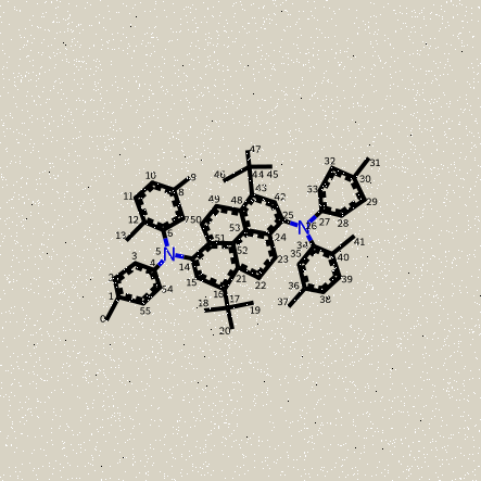 Cc1ccc(N(c2cc(C)ccc2C)c2cc(C(C)(C)C)c3ccc4c(N(c5ccc(C)cc5)c5cc(C)ccc5C)cc(C(C)(C)C)c5ccc2c3c45)cc1